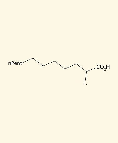 [CH2]C(CCCCCCCCCC)C(=O)O